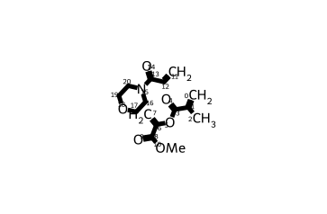 C=C(C)C(=O)OC(=C)C(=O)OC.C=CC(=O)N1CCOCC1